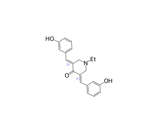 CCN1C/C(=C\c2cccc(O)c2)C(=O)/C(=C/c2cccc(O)c2)C1